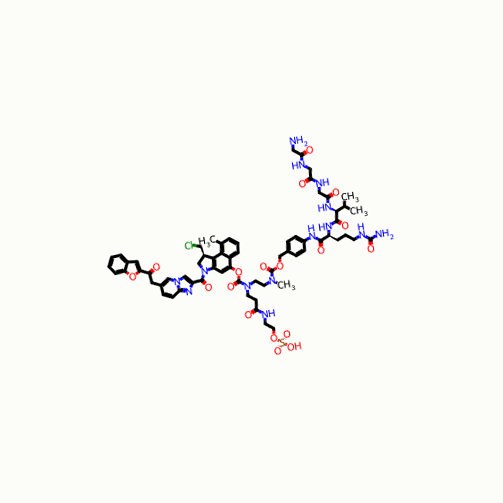 Cc1cccc2c(OC(=O)N(CCC(=O)NCCOS(=O)(=O)O)CCN(C)C(=O)OCc3ccc(NC(=O)[C@H](CCCNC(N)=O)NC(=O)[C@@H](NC(=O)CNC(=O)CNC(=O)CN)C(C)C)cc3)cc3c(c12)[C@H](CCl)CN3C(=O)c1cn2cc(CC(=O)c3cc4ccccc4o3)ccc2n1